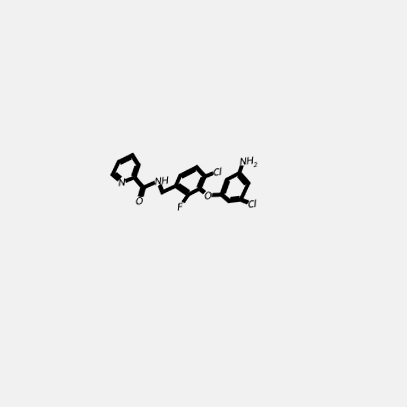 Nc1cc(Cl)cc(Oc2c(Cl)ccc(CNC(=O)c3ccccn3)c2F)c1